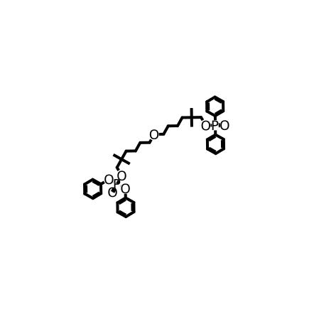 CC(C)(CCCCOCCCCC(C)(C)COP(=O)(c1ccccc1)c1ccccc1)COP(=O)(Oc1ccccc1)Oc1ccccc1